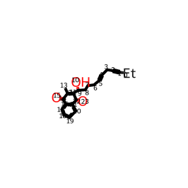 CCC#CCC#CCCCC(O)C1=C(C)C(=O)c2ccccc2C1=O